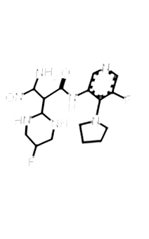 NC(N=O)C(C(=O)Nc1cncc(F)c1N1CCCC1)C1NCC(F)CN1